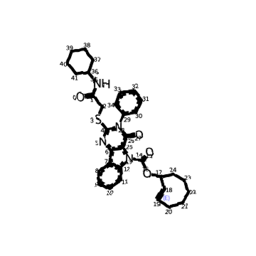 O=C(CSc1nc2c3ccccc3n(C(=O)OC3/C=C/CCCCC3)c2c(=O)n1-c1ccccc1)NC1CCCCC1